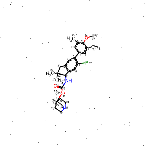 Cc1cc(-c2cc3c(cc2F)C(NC(=O)O[C@H]2CN4CCC2CC4)C(C)(C)C3)cc(C)c1OC(C)C